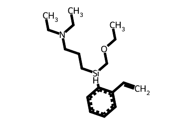 C=Cc1ccccc1[SiH](CCCN(CC)CC)COCC